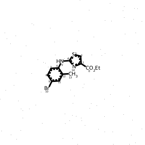 CCOC(=O)c1csc(Nc2ccc(Br)cc2C)n1